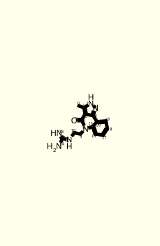 Cc1[nH]nc2c1c(=O)n(CCNC(=N)N)c1ccccc21